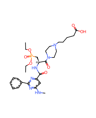 CCOP(=O)(C[C@H](NC(=O)c1cc(NC)nc(-c2ccccc2)n1)C(=O)N1CCN(CCCCC(=O)O)CC1)OCC